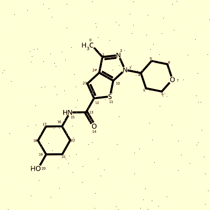 Cc1nn(C2CCOCC2)c2sc(C(=O)NC3CCC(O)CC3)cc12